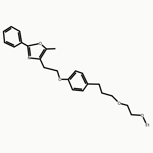 CCOCCOCCCc1ccc(OCCc2nc(-c3ccccc3)oc2C)cc1